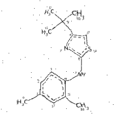 Cc1ccc(Nc2nc(C(C)(C)C)cs2)c(C)c1